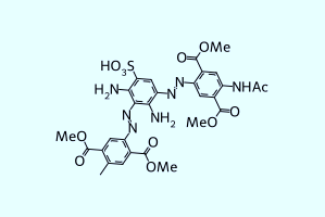 COC(=O)c1cc(/N=N/c2c(N)c(/N=N/c3cc(C(=O)OC)c(NC(C)=O)cc3C(=O)OC)cc(S(=O)(=O)O)c2N)c(C(=O)OC)cc1C